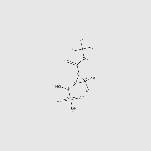 CC(C)(C)OC(=O)C1C(C(O)S(=O)(=O)O)C1(C)C